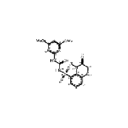 COc1cc(OC)nc(NC(=O)NS(=O)(=O)c2cccc3c2N(C)C(=O)CO3)n1